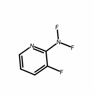 Fc1cccnc1N(F)F